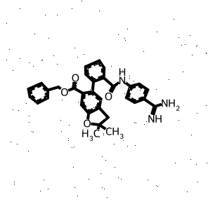 CC1(C)Cc2cc(-c3ccccc3C(=O)Nc3ccc(C(=N)N)cc3)c(C(=O)OCc3ccccc3)cc2O1